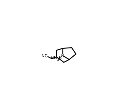 N#CCC1CC2CCC(C1)N2C(=O)O